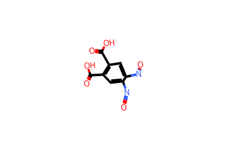 O=Nc1cc(C(=O)O)c(C(=O)O)cc1N=O